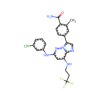 Cc1cc(-c2cnc3c(NCCC(F)(F)F)cc(Nc4cccc(Cl)c4)nn23)ccc1C(N)=O